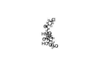 CC(=O)OCC1=C(C(=O)O)N2C(=O)[C@@H](NC(=O)C=CC(=O)c3ccc(Cl)cc3)[C@H]2SC1